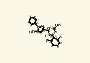 O=C(O)C[C@H](NC(=O)c1cc(O)n(-c2ccccc2)n1)c1c(F)cccc1F